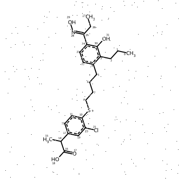 CCCc1c(CCCCSc2ccc(C(C)C(=O)O)cc2Cl)ccc(C(CC)=NO)c1O